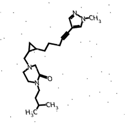 CC(C)CCN1CCN(CC2CC2CCCC#Cc2cnn(C)c2)CC1=O